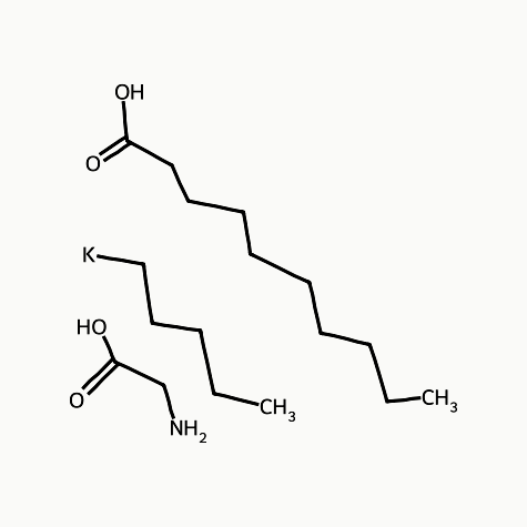 CCCCCCCCCC(=O)O.CCCC[CH2][K].NCC(=O)O